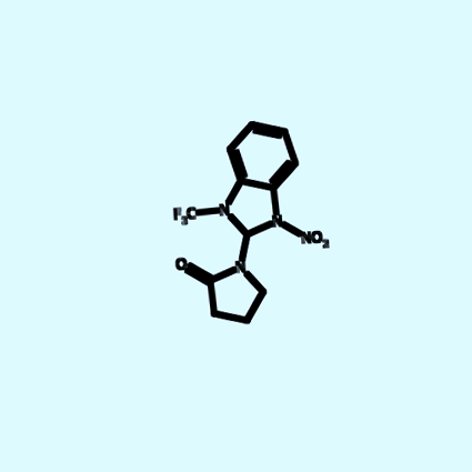 O=C1CCCN1C1N([N+](=O)[O-])c2ccccc2N1C(F)(F)F